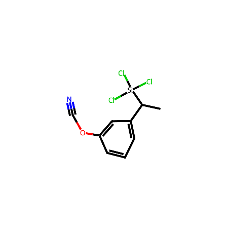 CC(c1cccc(OC#N)c1)[Si](Cl)(Cl)Cl